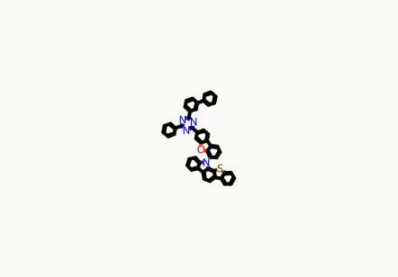 c1ccc(-c2cccc(-c3nc(-c4ccccc4)nc(-c4ccc5c(c4)oc4c(-n6c7ccccc7c7ccc8c9ccccc9sc8c76)cccc45)n3)c2)cc1